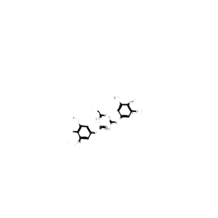 CC(C)(C)c1cc(Sc2nc(Cl)nc(Sc3cc(C(C)(C)C)c(O)c(C(C)(C)C)c3)n2)cc(C(C)(C)C)c1O